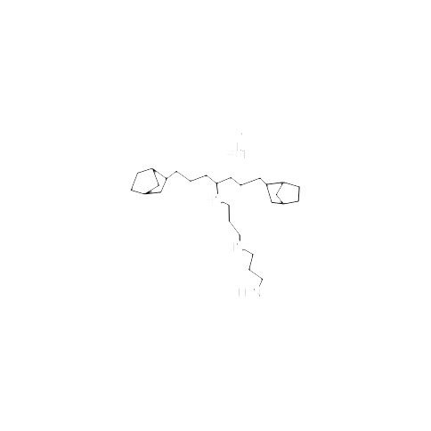 Cl.Cl.Cl.NCCCNCCCNC(CCCC1CC2CCC1C2)CCCC1CC2CCC1C2